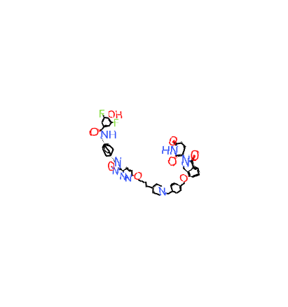 O=C1CCC(N2Cc3c(OCc4ccc(CN5CCC(CCCOc6ccc(-c7noc([C@]89CC[C@](CNC(=O)c%10cc(F)c(O)c(F)c%10)(CC8)CC9)n7)nn6)CC5)cc4)cccc3C2=O)C(=O)N1